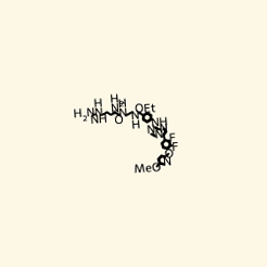 CCc1cc(Nc2nccn3c(-c4ccc(Oc5ccc(OC)cn5)c(F)c4F)cnc23)ccc1C(=O)NCCNC(=O)[C@H](N)CCCNC(=N)N